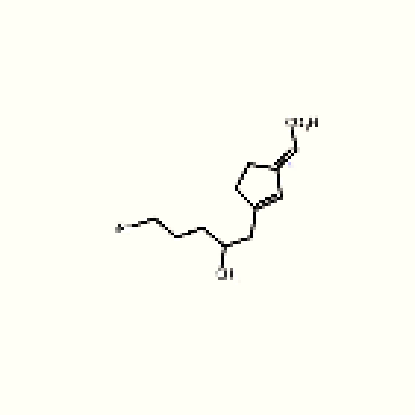 CC(C)CCCC(C)CC1=C/C(=C/C(=O)O)CC1